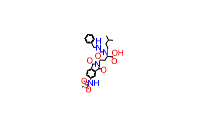 CC(C)CCN(C(=O)NCc1ccccc1)C(CCN1C(=O)c2ccc(NS(C)(=O)=O)cc2C1=O)C(=O)O